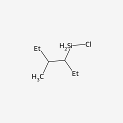 CCC(C)C(CC)[SiH2]Cl